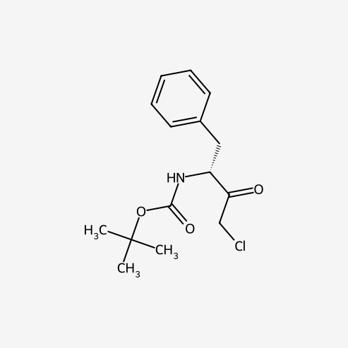 CC(C)(C)OC(=O)N[C@H](Cc1ccccc1)C(=O)CCl